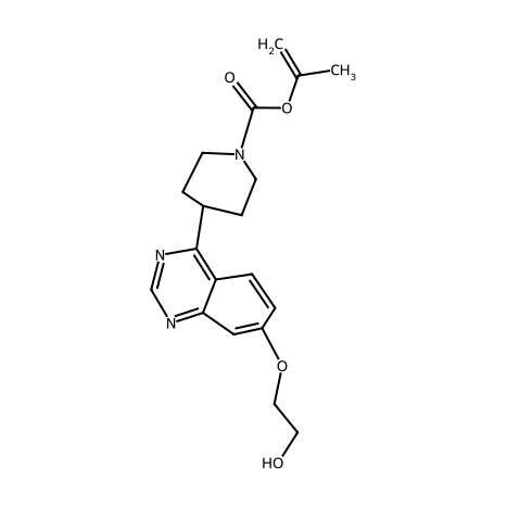 C=C(C)OC(=O)N1CCC(c2ncnc3cc(OCCO)ccc23)CC1